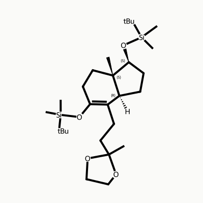 CC1(CCC2=C(O[Si](C)(C)C(C)(C)C)CC[C@]3(C)[C@@H](O[Si](C)(C)C(C)(C)C)CC[C@@H]23)OCCO1